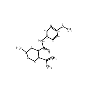 C=C(C)C1CCC(C)CC1C(=O)Nc1ccc(OC)cc1